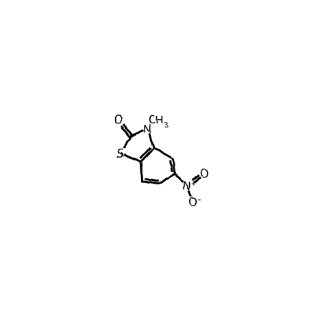 Cn1c(=O)sc2ccc([N+](=O)[O-])cc21